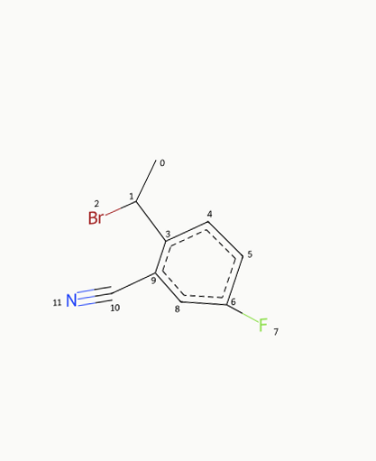 CC(Br)c1ccc(F)cc1C#N